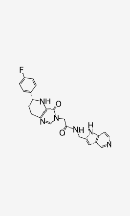 O=C(Cn1cnc2c(c1=O)N[C@@H](c1ccc(F)cc1)CC2)NCc1cc2cnccc2[nH]1